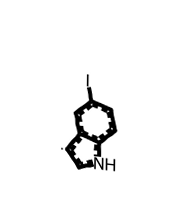 Ic1ccc2[nH]c[c]c2c1